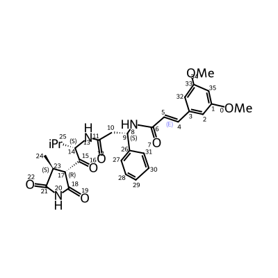 COc1cc(/C=C/C(=O)N[C@@H](CC(=O)N[C@H](C(=O)[C@@H]2C(=O)NC(=O)[C@H]2C)C(C)C)c2ccccc2)cc(OC)c1